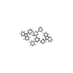 C1=C(c2ccccc2)C=C(c2cc(-c3ccccc3)cc(-c3cccc(-n4c5ccccc5c5ccccc54)n3)n2)NC1c1cccc(-n2c3ccccc3c3ccccc32)n1